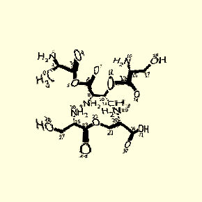 C[C@@H](N)C(=O)OC(=O)[C@@H](N)[C@@H](C)OC(=O)[C@@H](N)CO.N[C@@H](COC(=O)[C@@H](N)CO)C(=O)O